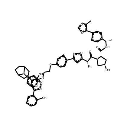 Cc1ncsc1-c1ccc([C@H](C)NC(=O)[C@@H]2C[C@@H](O)CN2C(=O)[C@@H](c2cc(-c3ccc(OCCOc4cc(N5C6CCC5CN(c5cc(-c7ccccc7O)nnc5N)C6)ccn4)cc3)no2)C(C)C)cc1